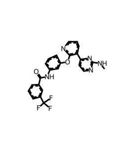 CNc1nccc(-c2cccnc2Oc2cccc(NC(=O)c3cccc(C(F)(F)F)c3)c2)n1